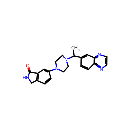 CC(c1ccc2nccnc2c1)N1CCN(c2ccc3c(c2)C(=O)NC3)CC1